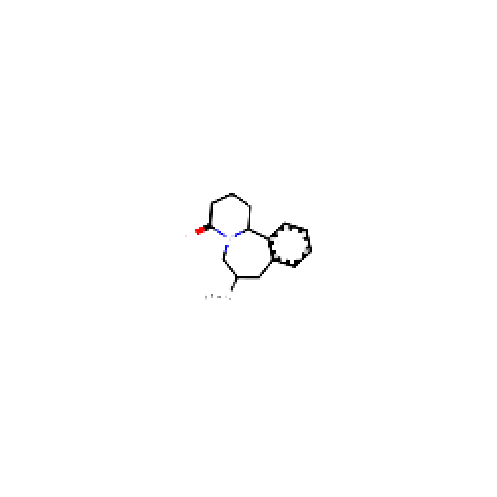 CNC1Cc2ccccc2C2CCCC(=O)N2C1